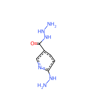 NNNC(=O)c1ccc(NN)nc1